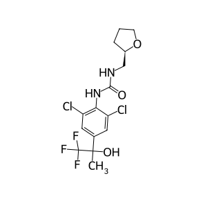 CC(O)(c1cc(Cl)c(NC(=O)NC[C@H]2CCCO2)c(Cl)c1)C(F)(F)F